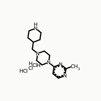 Cc1nccc(N2CCN(CC3CCNCC3)CC2)n1.Cl.Cl.Cl